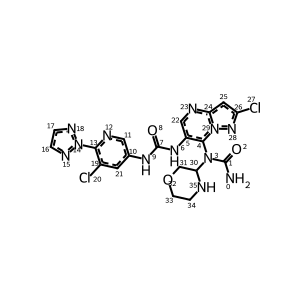 NC(=O)N(c1c(NC(=O)Nc2cnc(-n3nccn3)c(Cl)c2)cnc2cc(Cl)nn12)C1COCCN1